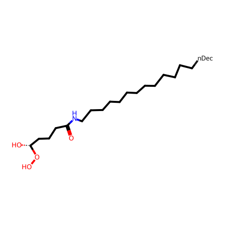 CCCCCCCCCCCCCCCCCCCCCCCNC(=O)CCC[C@@H](O)OO